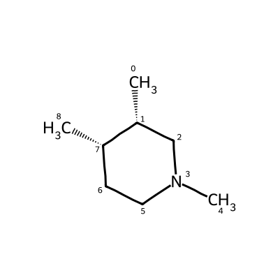 C[C@@H]1CN(C)CC[C@@H]1C